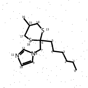 CCCCCCC1(Cn2ccnc2)SCC(C)CS1